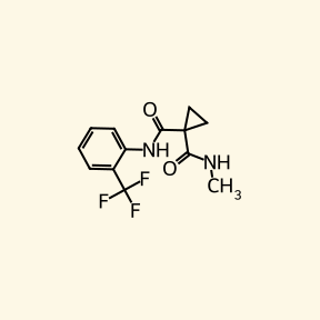 CNC(=O)C1(C(=O)Nc2ccccc2C(F)(F)F)CC1